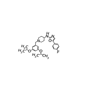 CC(C)Oc1cc(CN2CCC(Nc3ncc(-c4ccc(F)cc4)o3)CC2)cc(OC(C)C)c1